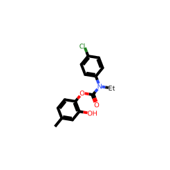 CCN(C(=O)Oc1ccc(C)cc1O)c1ccc(Cl)cc1